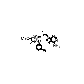 CCc1cccc(OP(=O)(CO[C@H](C)Cn2cnc3c(N)ncnc32)N[C@@H](C)C(OC)OC)c1